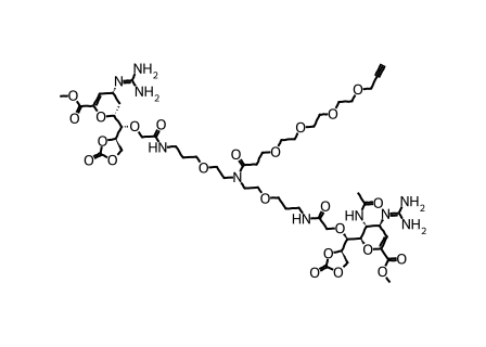 C#CCOCCOCCOCCOCCC(=O)N(CCOCCCNC(=O)CO[C@H]([C@H]1COC(=O)O1)[C@H]1C[C@@H](N=C(N)N)C=C(C(=O)OC)O1)CCOCCCNC(=O)CO[C@@H]([C@@H]1OC(C(=O)OC)=C[C@H](N=C(N)N)[C@H]1NC(C)=O)[C@H]1COC(=O)O1